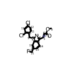 COC(=O)/C=C/c1nn(Cc2ccc(Cl)cc2Cl)c2cc(CF)ccc12